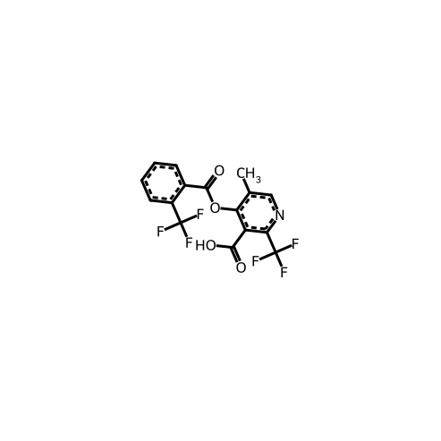 Cc1cnc(C(F)(F)F)c(C(=O)O)c1OC(=O)c1ccccc1C(F)(F)F